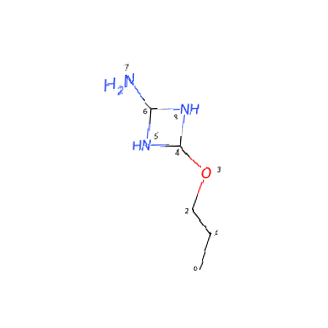 CCCOC1NC(N)N1